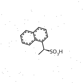 C[C@@H](c1cccc2ccccc12)S(=O)(=O)O